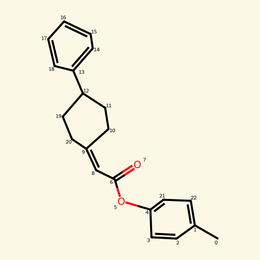 Cc1ccc(OC(=O)C=C2CCC(c3ccccc3)CC2)cc1